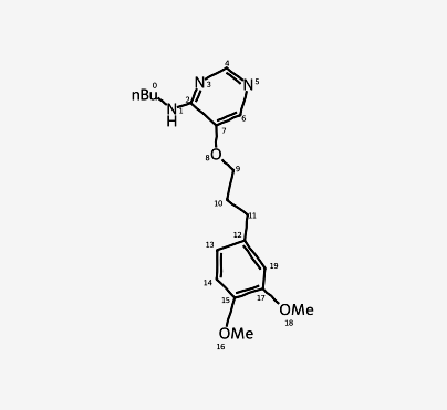 CCCCNc1ncncc1OCCCc1ccc(OC)c(OC)c1